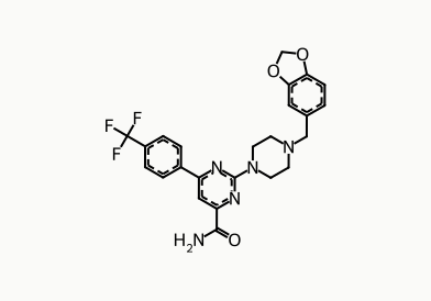 NC(=O)c1cc(-c2ccc(C(F)(F)F)cc2)nc(N2CCN(Cc3ccc4c(c3)OCO4)CC2)n1